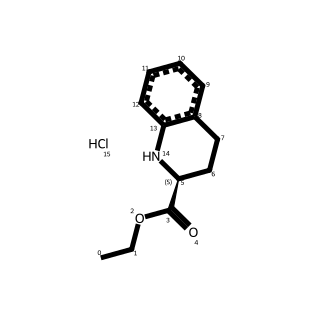 CCOC(=O)[C@@H]1CCc2ccccc2N1.Cl